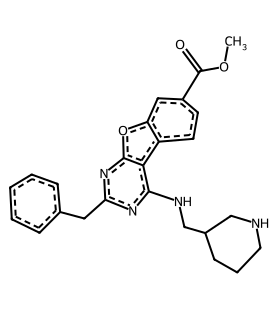 COC(=O)c1ccc2c(c1)oc1nc(Cc3ccccc3)nc(NCC3CCCNC3)c12